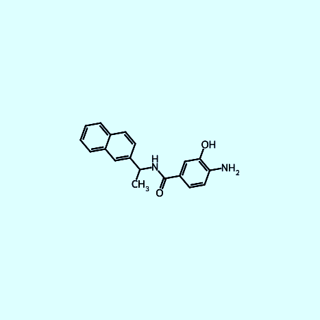 CC(NC(=O)c1ccc(N)c(O)c1)c1ccc2ccccc2c1